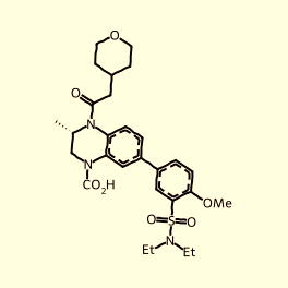 CCN(CC)S(=O)(=O)c1cc(-c2ccc3c(c2)N(C(=O)O)C[C@H](C)N3C(=O)CC2CCOCC2)ccc1OC